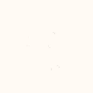 CCCCN(CC)CCCON=C(C)/C=C1/C(=O)N(c2ccccc2C)C1c1ccccc1.O=C(O)C(=O)O